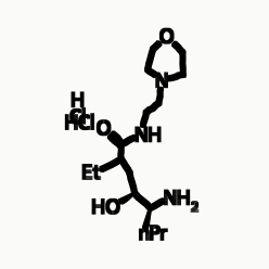 CCC[C@H](N)[C@@H](O)CC(CC)C(=O)NCCN1CCOCC1.Cl.Cl